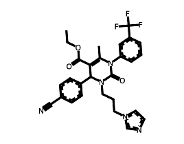 CCOC(=O)C1=C(C)N(c2cccc(C(F)(F)F)c2)C(=O)N(CCCn2ccnc2)C1c1ccc(C#N)cc1